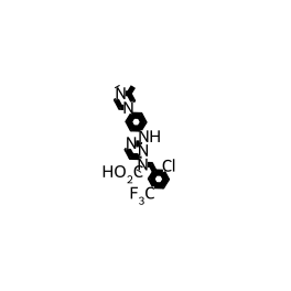 CC1CN(c2ccc(Nc3nccc(N(Cc4cc(C(F)(F)F)ccc4Cl)C(=O)O)n3)cc2)CCN1C